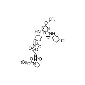 CC(C)(C)OC(=O)N1CCC[C@H]1C(=O)NCCS(=O)(=O)NC(=O)c1ccc(Nc2nc(NC3(c4ccc(Cl)cc4)CC3)nc(OCC(F)(F)F)n2)cc1